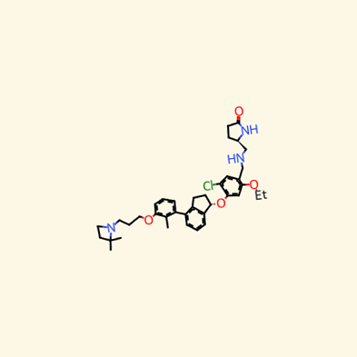 CCOc1cc(O[C@H]2CCc3c(-c4cccc(OCCCN5CCC5(C)C)c4C)cccc32)c(Cl)cc1CNC[C@H]1CCC(=O)N1